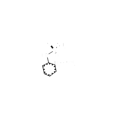 NS(=O)(=O)Bc1ccccc1.O.O